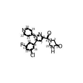 O=C1CN(C(=O)c2cc(-c3cc(F)cc(Cl)c3)n(-c3ccncc3)n2)CN1